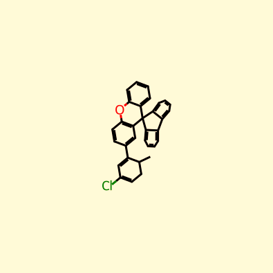 CC1CC=C(Cl)C=C1c1ccc2c(c1)C1(c3ccccc3O2)c2ccccc2-c2ccccc21